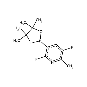 Cc1nc(F)c(B2OC(C)(C)C(C)(C)O2)cc1F